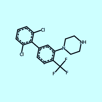 FC(F)(F)c1[c]cc(-c2c(Cl)cccc2Cl)cc1N1CCNCC1